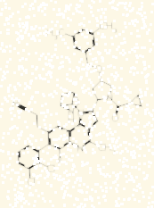 Cc1cc(C)cc(COC2CC(c3cc4c(C)nc5c(F)c(-c6cccc(Cl)c6Cl)c(CCC#N)cc5c4n3C3C4CNC3C4)N(C(=O)C3CC3)C2)c1